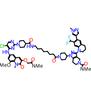 CNC(=O)COc1cc2cc(Nc3nc(N4CCC(C(=O)NCCCCCCCC(=O)N5CCC(n6nc(N7CCCc8cc(-c9cnn(C)c9)c(C(F)F)cc87)c7c6CCN(C(=O)NC)C7)CC5)CC4)ncc3Cl)cc(OC)c2n(C)c1=O